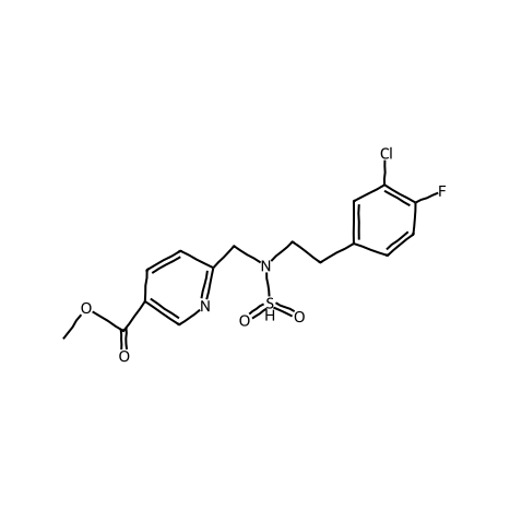 COC(=O)c1ccc(CN(CCc2ccc(F)c(Cl)c2)[SH](=O)=O)nc1